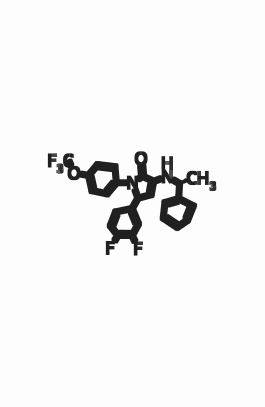 C[C@@H](NC1=CC(c2ccc(F)c(F)c2)N(c2ccc(OC(F)(F)F)cc2)C1=O)c1ccccc1